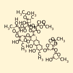 CO[C@H](C(=O)[C@@H](O)[C@@H](C)OC(C)=O)[C@@H]1Cc2cc3cc(O[C@H]4C[C@@H](O[C@H]5C[C@@H](O)CC(C)O5)[C@@H](OC(C)=O)C(C)O4)c(C)c(O)c3c(O)c2C(=O)[C@H]1O[C@H]1C[C@@H](O[C@H]2C[C@@H](O[C@H](O)C[C@]3(O)CC(C)[C@@H]3OC(C)=O)[C@H](O)C(C)O2)[C@H](O)C(C)O1